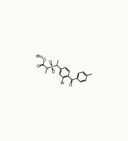 Cc1ccc(C(=O)c2ccc(C(C)S(=O)(=O)N(C)C(=O)OC(C)(C)C)cc2Br)cc1